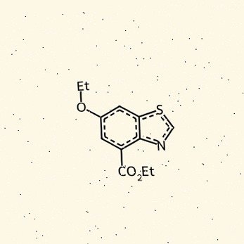 CCOC(=O)c1cc(OCC)cc2scnc12